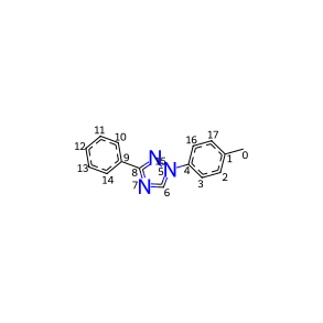 Cc1ccc(-n2cnc(-c3ccccc3)n2)cc1